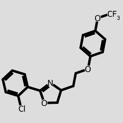 FC(F)(F)Oc1ccc(OCCC2COC(c3ccccc3Cl)=N2)cc1